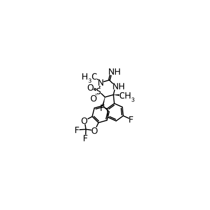 CN1C(=N)N[C@](C)(c2cc(F)ccc2F)[C@@H](c2ccc3c(c2)OC(F)(F)O3)S1(=O)=O